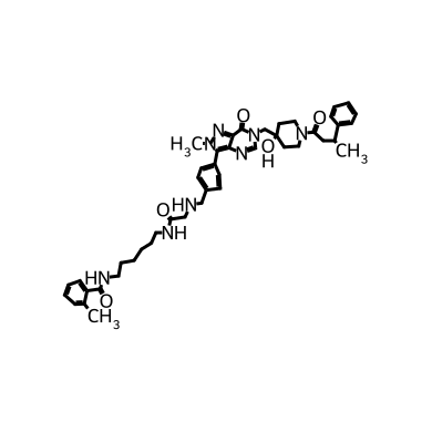 Cc1ccccc1C(=O)NCCCCCCNC(=O)CNCc1ccc(-c2c3ncn(CC4(O)CCN(C(=O)CC(C)c5ccccc5)CC4)c(=O)c3nn2C)cc1